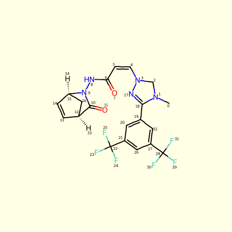 CN1CN(/C=C\C(=O)NN2C(=O)[C@H]3C=C[C@@H]2C3)N=C1c1cc(C(F)(F)F)cc(C(F)(F)F)c1